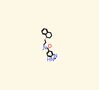 CN(CCC[C@H]1CCCc2ccccc21)C(=O)c1ccc2[nH]cnc2c1